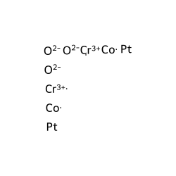 [Co].[Co].[Cr+3].[Cr+3].[O-2].[O-2].[O-2].[Pt].[Pt]